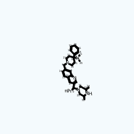 CCCC(c1cnc2cc(CN3CCC(c4ccccc4)(N(C)C)CC3)ccc2c1)N1CC(C)NC(C)C1